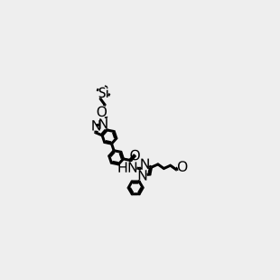 C[Si](C)(C)CCOCn1ncc2cc(-c3cccc(C(=O)Nc4nc(CCCC=O)cn4-c4ccccc4)c3)ccc21